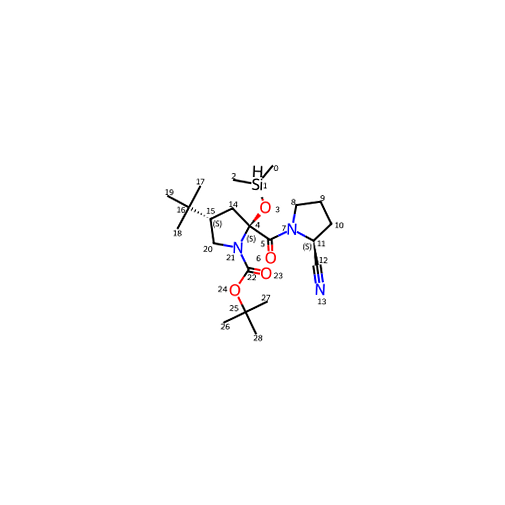 C[SiH](C)O[C@]1(C(=O)N2CCC[C@H]2C#N)C[C@@H](C(C)(C)C)CN1C(=O)OC(C)(C)C